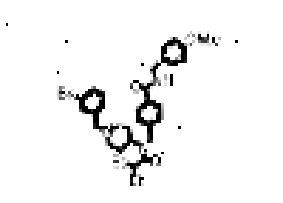 CCC(CC)C(=O)N(Cc1ccc(C(=O)NCc2ccc(OC)cc2)cc1)C1CCN(Cc2cccc(Br)c2)CC1